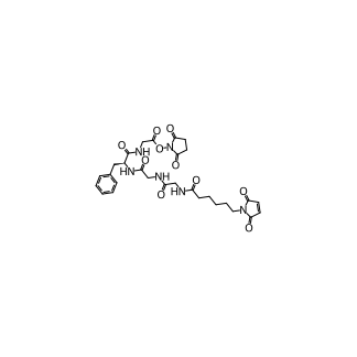 O=C(CCCCCN1C(=O)C=CC1=O)NCC(=O)NCC(=O)N[C@@H](Cc1ccccc1)C(=O)NCC(=O)ON1C(=O)CCC1=O